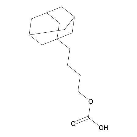 O=C(O)OCCCCC12CC3CC(CC(C3)C1)C2